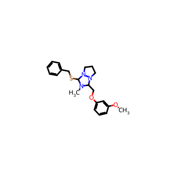 COc1cccc(OCC2N(C)C(SCc3ccccc3)N3CCCN23)c1